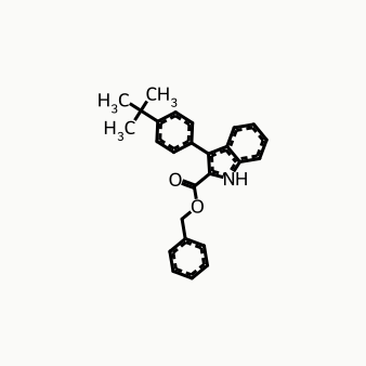 CC(C)(C)c1ccc(-c2c(C(=O)OCc3ccccc3)[nH]c3ccccc23)cc1